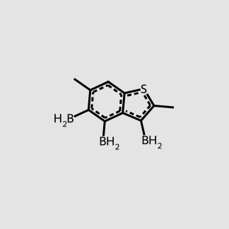 Bc1c(C)cc2sc(C)c(B)c2c1B